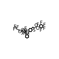 CC(NP(=O)(Oc1ccccc1)C(F)c1ccc2sc(C(=O)Oc3c(F)c(F)c(F)c(F)c3F)cc2c1)C(=O)OCCC(F)(F)F